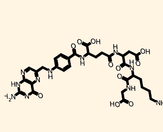 NCCCCC(NC(=O)C(CC(=O)O)NC(=O)CCC(NC(=O)c1ccc(NCc2cnc3[nH]c(N)nc(=O)c3n2)cc1)C(=O)O)C(=O)NCC(=O)O